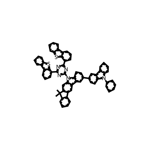 CC1(C)c2ccccc2-c2cc3c4cc(-c5ccc6c(c5)c5ccccc5n6-c5ccccc5)ccc4n(-c4nc(-c5cccc6c5sc5ccccc56)nc(-c5cccc6c5sc5ccccc56)n4)c3cc21